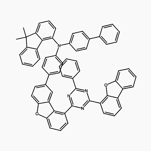 CC1(C)c2ccccc2-c2c(N(c3ccc(-c4ccccc4)cc3)c3ccc(-c4ccc5oc6cccc(-c7nc(-c8ccccc8)nc(-c8cccc9c8oc8ccccc89)n7)c6c5c4)cc3)cccc21